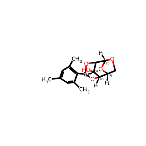 Cc1cc(C)c(B2OC3[C@@H]4OC[C@@H](O4)[C@H](O2)[C@@H]3O)c(C)c1